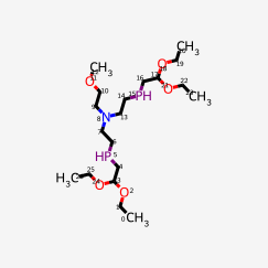 CCOC(CPCCN(CCOC)CCPCC(OCC)OCC)OCC